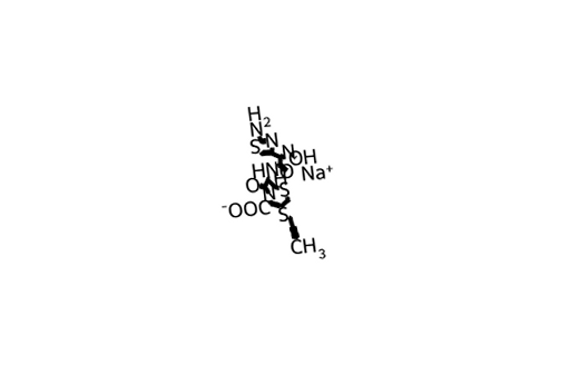 CC#CCSC1=C(C(=O)[O-])N2C(=O)[C@@H](NC(=O)/C(=N\O)c3csc(N)n3)[C@@H]2SC1.[Na+]